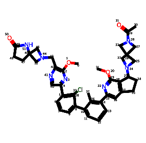 COc1nc(-c2cccc(-c3cccc(-c4cc5c(c(OC)n4)C(N4CC6(CN(C(C)=O)C6)C4)CC5)c3C)c2Cl)cnc1CN1CC2(CCC(=O)N2)C1